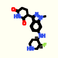 Cn1nc(C2CCC(=O)NC2=O)c2ccc(N[C@H]3CCNC[C@@H]3F)cc21